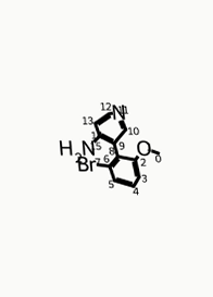 COc1cccc(Br)c1-c1cnccc1N